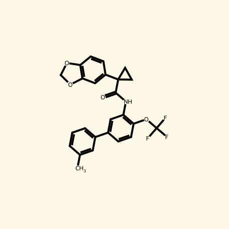 Cc1cccc(-c2ccc(OC(F)(F)F)c(NC(=O)C3(c4ccc5c(c4)OCO5)CC3)c2)c1